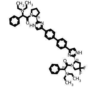 CCN(CC)C(C(=O)N1CCC[C@H]1c1nc(-c2ccc(-c3ccc(-c4c[nH]c([C@@H]5CC(F)(F)CN5C(=O)[C@@H](c5ccccc5)N(CC)CC)n4)cc3)cc2)c[nH]1)c1ccccc1